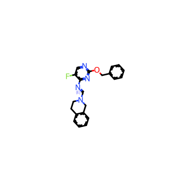 Fc1cnc(OCc2ccccc2)nc1/N=C/N1CCc2ccccc2C1